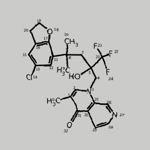 Cc1cn(CC(O)(CC(C)(C)c2cc(Cl)cc3c2OCC3)C(F)(F)F)c2cnccc2c1=O